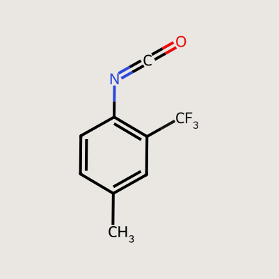 Cc1ccc(N=C=O)c(C(F)(F)F)c1